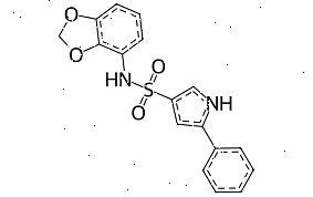 O=S(=O)(Nc1cccc2c1OCO2)c1c[nH]c(-c2ccccc2)c1